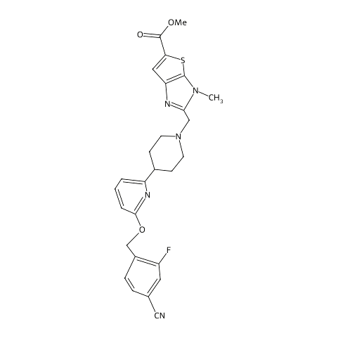 COC(=O)c1cc2nc(CN3CCC(c4cccc(OCc5ccc(C#N)cc5F)n4)CC3)n(C)c2s1